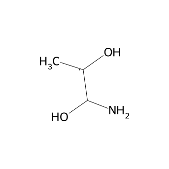 C[C](O)C(N)O